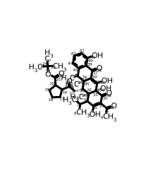 CC(=O)C1=C(O)C(C(C)C)[C@@]2(C)[C@H](CC(=O)C3CCCC3C(=O)OC(C)(C)C)[C@]3(C)C(=C(O)[C@@]2(O)C1=O)C(=O)c1c(O)cccc1[C@H]3C